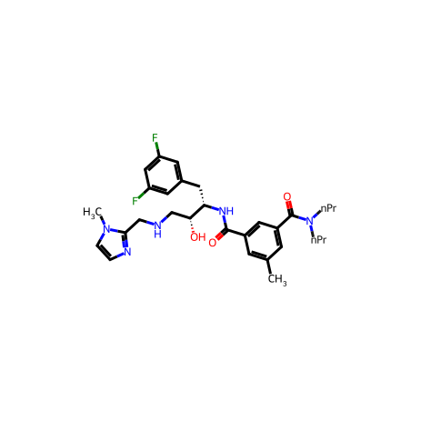 CCCN(CCC)C(=O)c1cc(C)cc(C(=O)N[C@@H](Cc2cc(F)cc(F)c2)[C@H](O)CNCc2nccn2C)c1